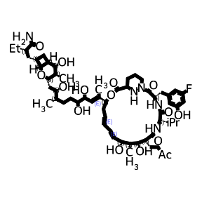 CC[C@@H](C[C@@H]1C[C@H]2[C@@H](O)[C@@H](C)[C@H](C[C@H](O)[C@@H](C)CCC(O)C(O)/C=C(\C)[C@@H]3C/C=C/C=C/[C@H](O)[C@H](C)[C@@H](O)[C@@H](CCC(C)=O)C(=O)N[C@@H](C(C)C)C(=O)N[C@@H](Cc4cc(O)cc(F)c4)C(=O)N4CCCC(N4)C(=O)O3)O[C@H]12)C(N)=O